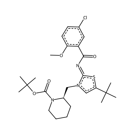 COc1ccc(Cl)cc1C(=O)/N=c1\sc(C(C)(C)C)cn1C[C@H]1CCCCN1C(=O)OC(C)(C)C